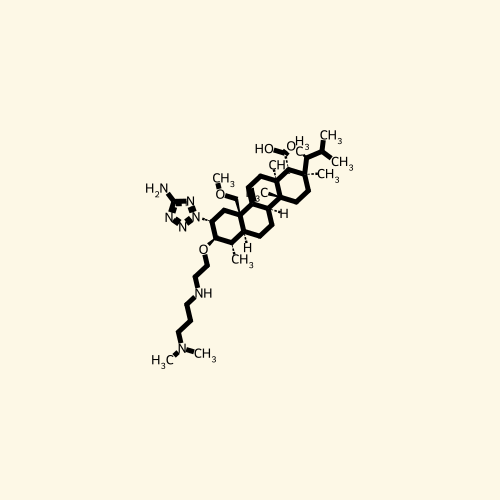 COC[C@]12C[C@@H](n3nnc(N)n3)[C@H](OCCNCCCN(C)C)[C@@H](C)[C@@H]1CC[C@H]1C2=CC[C@@]2(C)[C@H](C(=O)O)[C@@](C)([C@H](C)C(C)C)CC[C@]12C